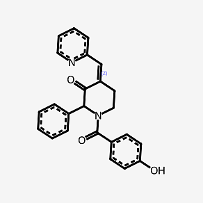 O=C1/C(=C\c2ccccn2)CCN(C(=O)c2ccc(O)cc2)C1c1ccccc1